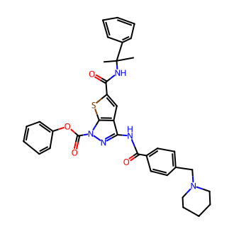 CC(C)(NC(=O)c1cc2c(NC(=O)c3ccc(CN4CCCCC4)cc3)nn(C(=O)Oc3ccccc3)c2s1)c1ccccc1